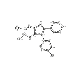 [CH2]Cc1ccc(-n2c(-c3ccccn3)nc3cc(C(F)(F)F)c(Cl)cc32)cc1